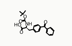 CC(C)(C)OC(=O)N[C@@H](Cc1ccc(C(=O)c2ccccc2)cc1)C(=O)O